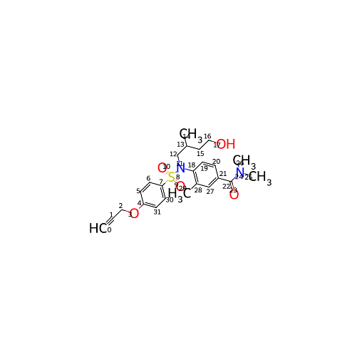 C#CCOc1ccc(S(=O)(=O)N(CC(C)CCO)c2ccc(C(=O)N(C)C)cc2C)cc1